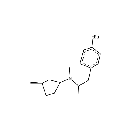 CC(Cc1ccc(C(C)(C)C)cc1)N(C)C1CC[C@@H](C)C1